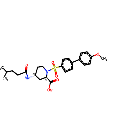 COc1ccc(-c2ccc(S(=O)(=O)N3CC[C@@H](NC(=O)CCC(C)C)C[C@@H]3C(=O)O)cc2)cc1